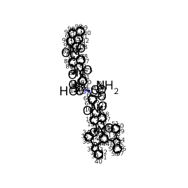 NOS(=O)(=O)c1cc(N2C(=O)c3ccc4c5c(ccc(c35)C2=O)C(=O)N(c2cc(C3C(c5ccccc5)=Cc5ccccc53)cc(C3C(c5ccccc5)=Cc5ccccc53)c2)C4=O)ccc1/C=C/c1ccc(N2C(=O)c3ccc4c5c(ccc(c35)C2=O)C(=O)N(c2ccc3ccc5cccc6ccc2c3c56)C4=O)cc1S(=O)(=O)O